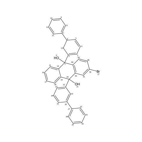 OC1(C2=CC=CC(c3ccccc3)C2)c2ccccc2C(O)(c2cccc(-c3ccccc3)c2)c2cc(Br)ccc21